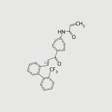 C=CC(=O)Nc1ccc(C(=O)/C=C/c2ccccc2-c2ccccc2C(F)(F)F)cc1